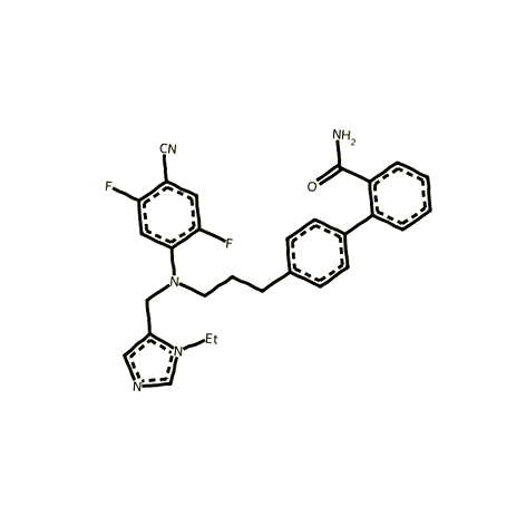 CCn1cncc1CN(CCCc1ccc(-c2ccccc2C(N)=O)cc1)c1cc(F)c(C#N)cc1F